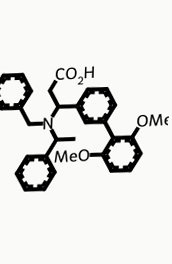 COc1cccc(OC)c1-c1cccc(C(CC(=O)O)N(Cc2ccccc2)C(C)c2ccccc2)c1